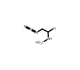 CCC(CN=[N+]=[N-])NC(=O)O